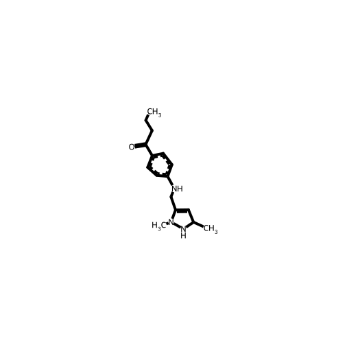 CCCC(=O)c1ccc(NCC2=CC(C)NN2C)cc1